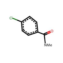 CNC(=O)c1[c]cc(Cl)cc1